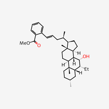 CC[C@H]1[C@@H](O)[C@@H]2[C@H](CC[C@]3(C)[C@@H]([C@H](C)C/C=C/c4ccccc4C(=O)OC)CC[C@@H]23)[C@@]2(C)CC[C@@H](C)C[C@@H]12